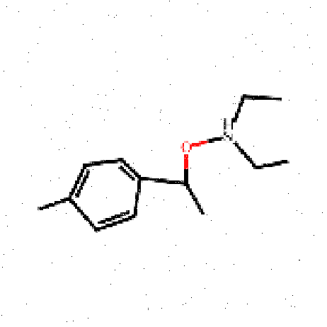 CC[SiH](CC)OC(C)c1ccc(C)cc1